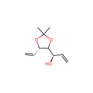 C=C[C@@H](O)C1OC(C)(C)O[C@H]1C=C